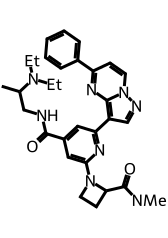 CCN(CC)C(C)CNC(=O)c1cc(-c2cnn3ccc(-c4ccccc4)nc23)nc(N2CCC2C(=O)NC)c1